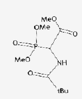 COC(=O)C(NC(=O)C(C)(C)C)P(=O)(OC)OC